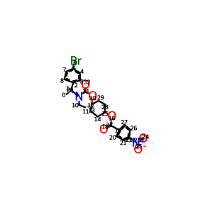 C[C@@H](c1ccc(Br)cc1)N1CC[C@]2(CC[C@H](OC(=O)c3ccc([N+](=O)[O-])cc3)CC2)OC1=O